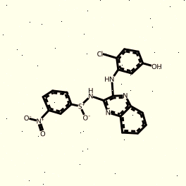 O=[N+]([O-])c1cccc([S+]([O-])Nc2nc3ccccc3nc2Nc2cc(O)ccc2Cl)c1